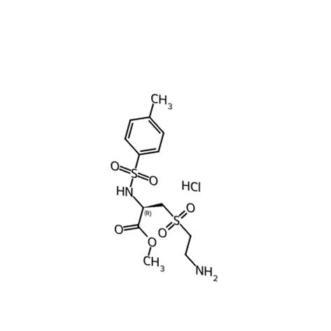 COC(=O)[C@H](CS(=O)(=O)CCN)NS(=O)(=O)c1ccc(C)cc1.Cl